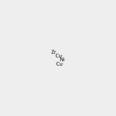 [Cu].[Cu].[Ni].[Zr]